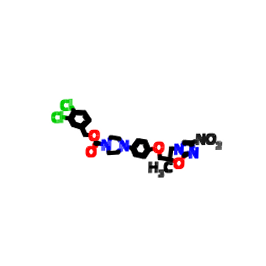 C[C@]1(COc2ccc(N3CCN(C(=O)OCc4ccc(Cl)c(Cl)c4)CC3)cc2)Cn2cc([N+](=O)[O-])nc2O1